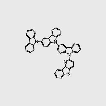 c1ccc2c(c1)sc1ccc(-n3c4ccccc4c4cc(-n5c6ccccc6c6cc(-n7c8ccccc8c8ccccc87)ccc65)ccc43)nc12